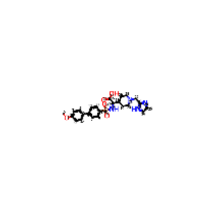 COc1ccc(-c2ccc(S(=O)(=O)NC(C(=O)O)C3CCN(Cc4ncc[nH]4)CC3)cc2)cc1